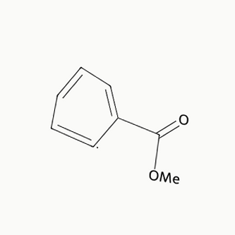 [CH2]OC(=O)c1[c]cccc1